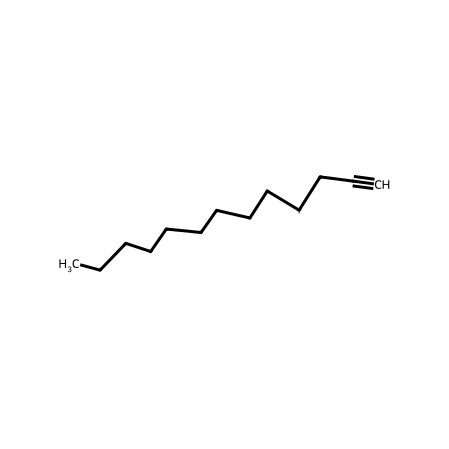 C#CC[CH]CCCCCCCCC